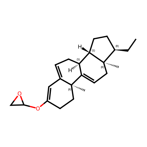 CC[C@@H]1CC[C@H]2[C@@H]3CC=C4C=C(OC5CO5)CC[C@]4(C)C3=CC[C@]12C